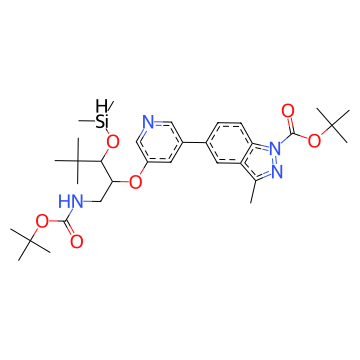 Cc1nn(C(=O)OC(C)(C)C)c2ccc(-c3cncc(OC(CNC(=O)OC(C)(C)C)C(O[SiH](C)C)C(C)(C)C)c3)cc12